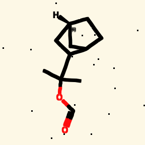 CC(C)(OC=O)C1C[C@@H]2CCC1C2